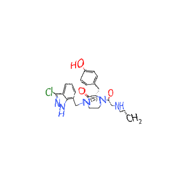 C=CCNCC(=O)N1CCN(Cc2cccc3c(Cl)n[nH]c23)C(=O)[C@@H]1Cc1ccc(O)cc1